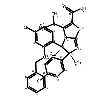 CC[C@]1(c2ccc(Cl)cc2OCc2ccccc2)N2C(=N[C@@]1(C)c1ccc(Cl)nc1)SC(C(=O)O)=C2C(C)C